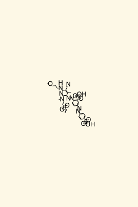 C=CS(=O)(=O)CCN(C)c1nc(NCCCOC)c(C#N)c(C)c1/N=N/c1ccc(/N=N/c2ccc(S(=O)(=O)O)cc2)cc1S(=O)(=O)O